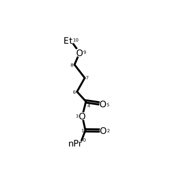 CCCC(=O)OC(=O)CCCOCC